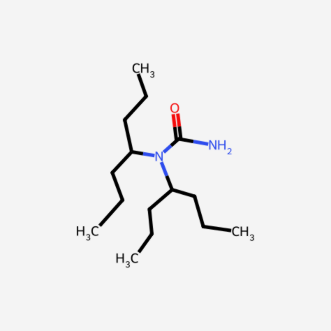 CCCC(CCC)N(C(N)=O)C(CCC)CCC